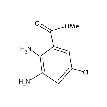 COC(=O)c1cc(Cl)cc(N)c1N